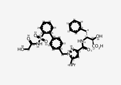 CCCc1cc(C(=O)N[C@H](Cc2ccccc2)[C@@H](O)C(=O)O)nn1Cc1ccc(-c2ccccc2S(=O)(=O)NC(=O)CO)cc1